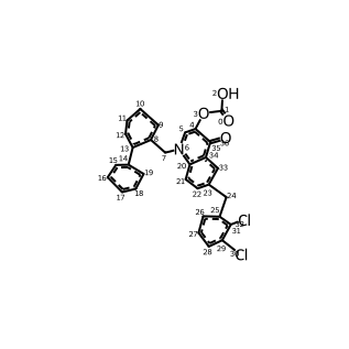 O=C(O)Oc1cn(Cc2ccccc2-c2ccccc2)c2ccc(Cc3cccc(Cl)c3Cl)cc2c1=O